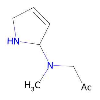 CC(=O)CN(C)C1C=CCN1